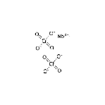 [Nb+4].[O]=[Cr](=[O])([O-])[O-].[O]=[Cr](=[O])([O-])[O-]